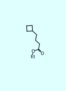 CCOC(=O)CCCC1CCC1